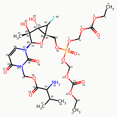 CCOC(=O)OCOP(=O)(OCOC(=O)OCC)OC[C@@]12O[C@@H](n3ccc(=O)n(COC(=O)C(N)C(C)C)c3=O)[C@](C)(O)[C@@]1(O)C2F